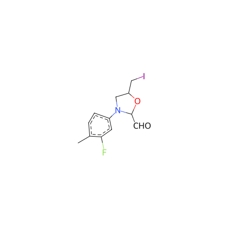 Cc1ccc(N2CC(CI)OC2C=O)cc1F